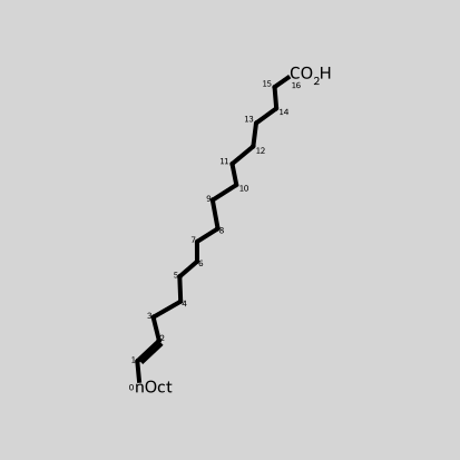 CCCCCCCC/C=C/CCCCCCCCCCCCCC(=O)O